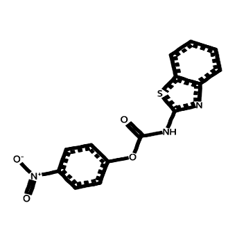 O=C(Nc1nc2ccccc2s1)Oc1ccc([N+](=O)[O-])cc1